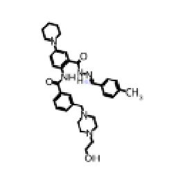 Cc1ccc(/C=N/NC(=O)c2cc(N3CCCCC3)ccc2NC(=O)c2cccc(CN3CCN(CCO)CC3)c2)cc1